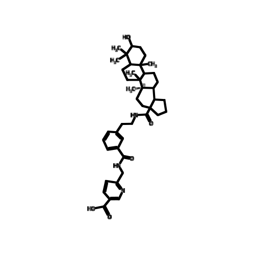 CC1(C)C(O)CCC2(C)C1CCC1(C)C2CCC2C3CCCC3(C(=O)NCCc3cccc(C(=O)NCc4ccc(C(=O)O)cn4)c3)CC[C@]21C